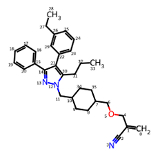 C=C(C#N)COCC1CCC(Cn2nc(-c3ccccc3)c(-c3cccc(CC)c3)c2CCC)CC1